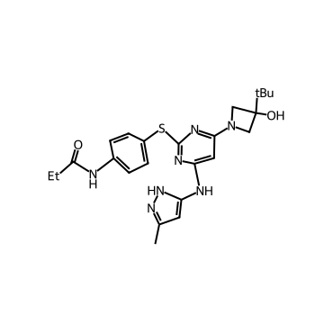 CCC(=O)Nc1ccc(Sc2nc(Nc3cc(C)n[nH]3)cc(N3CC(O)(C(C)(C)C)C3)n2)cc1